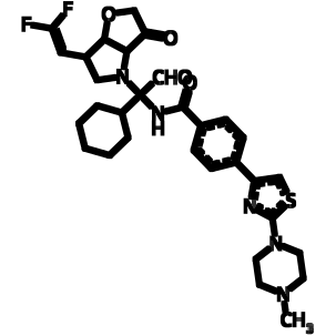 CN1CCN(c2nc(-c3ccc(C(=O)NC(C=O)(C4CCCCC4)N4CC(C=C(F)F)C5OCC(=O)C54)cc3)cs2)CC1